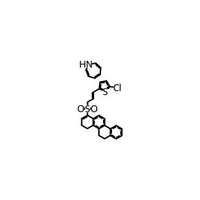 C1=CC=CNC=C1.O=S(=O)(CC=Cc1ccc(Cl)s1)C1=CCCc2c1ccc1c2CCc2ccccc2-1